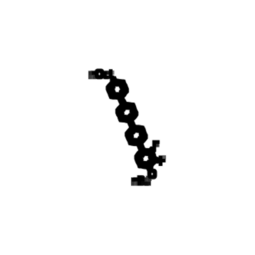 CCCCCCCCc1ccc(-c2ccc(-c3ccc(-c4ccc(OCCCC)c(F)c4F)cc3)cc2)cc1